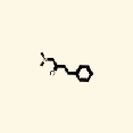 CN(C)CC(=O)CCc1ccccc1